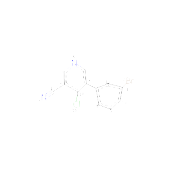 N#Cc1cncc(-c2cccc(Br)c2)c1Cl